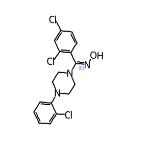 O/N=C(\c1ccc(Cl)cc1Cl)N1CCN(c2ccccc2Cl)CC1